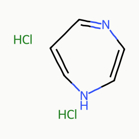 C1=CNC=CN=C1.Cl.Cl